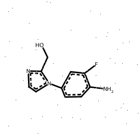 Nc1ccc(-n2ccnc2CO)cc1F